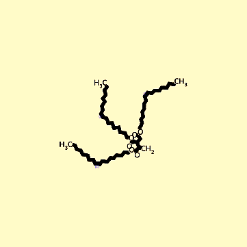 C=C(C(=O)OCCCCCCCC/C=C\CCCCCCCC)C(CC(=O)OCCCCCCCC/C=C\CCCCCCCC)C(=O)OCCCCCCCC/C=C\CCCCCCCC